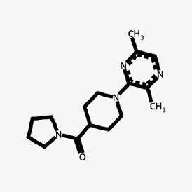 Cc1cnc(C)c(N2CCC(C(=O)N3CCCC3)CC2)n1